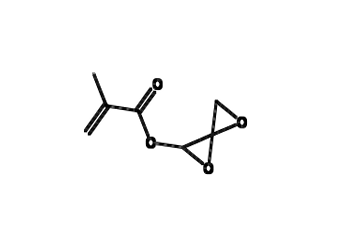 C=C(C)C(=O)OC1OC12CO2